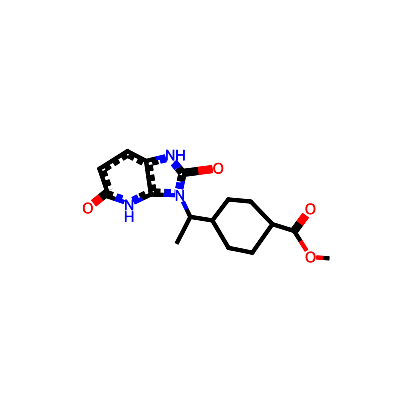 COC(=O)C1CCC(C(C)n2c(=O)[nH]c3ccc(=O)[nH]c32)CC1